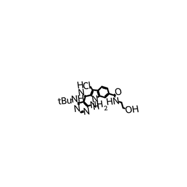 CC(C)(C)Nc1ncnc(N)c1C(=N)c1[nH]c2cc(C(=O)NCCO)ccc2c1Cl